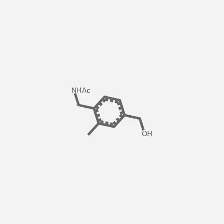 CC(=O)N[CH]c1ccc(CO)cc1C